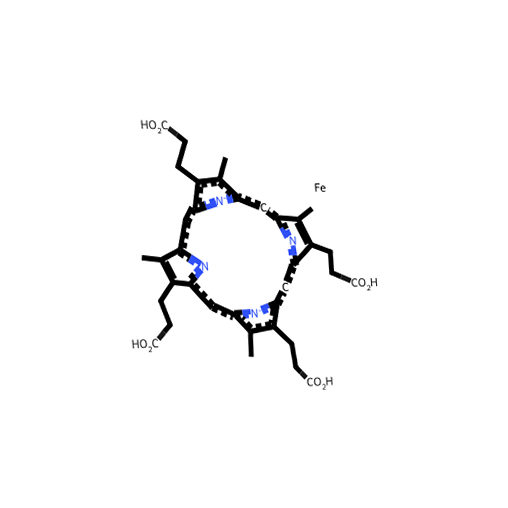 CC1=C(CCC(=O)O)c2cc3[n-]c(cc4nc(cc5[n-]c(cc1n2)c(CCC(=O)O)c5C)C(C)=C4CCC(=O)O)c(CCC(=O)O)c3C.[Fe]